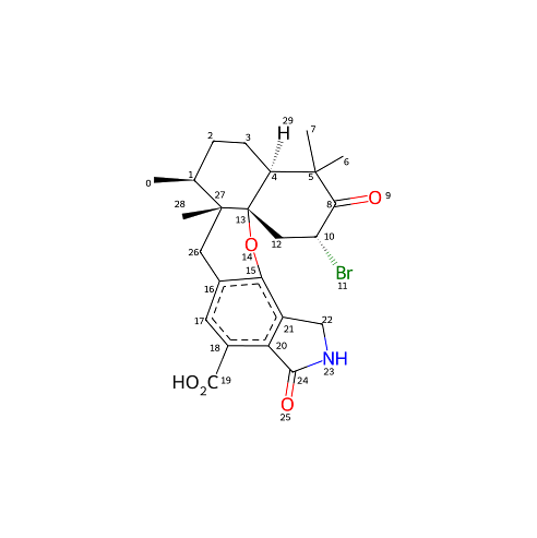 C[C@H]1CC[C@H]2C(C)(C)C(=O)[C@H](Br)C[C@]23Oc2c(cc(C(=O)O)c4c2CNC4=O)C[C@]13C